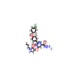 C=CCN1CCC(Oc2cc(C(N)=O)nc(-c3ccc(Oc4ccc(F)cc4)cc3)n2)C1=O